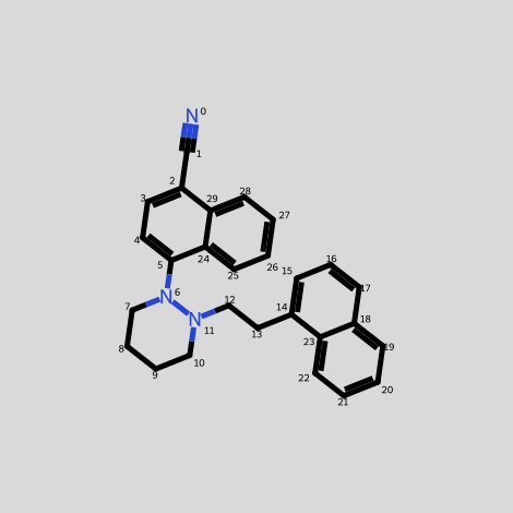 N#Cc1ccc(N2CCCCN2CCc2cccc3ccccc23)c2ccccc12